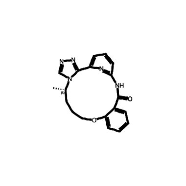 C[C@H]1CCCOc2ccccc2C(=O)Nc2cccc(n2)-c2nncn21